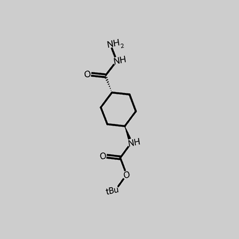 CC(C)(C)OC(=O)N[C@H]1CC[C@H](C(=O)NN)CC1